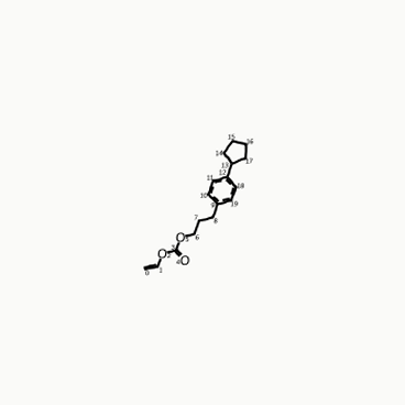 C=COC(=O)OCCCc1ccc(C2CCCC2)cc1